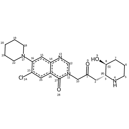 O=C(C[C@H]1NCCC[C@@H]1O)Cn1cnc2cc(N3CCCCC3)c(Cl)cc2c1=O